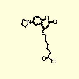 CCC(=O)SCCCCSc1cc(=O)oc2ccc(N3CCC3)cc12